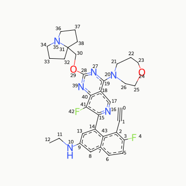 C#Cc1c(F)ccc2cc(NCC)cc(-c3ncc4c(N5CCCOCC5)nc(OCC56CCCN5CCC6)nc4c3F)c12